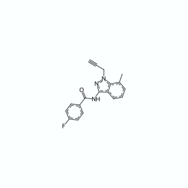 C#CCn1nc(NC(=O)c2ccc(F)cc2)c2cccc(C)c21